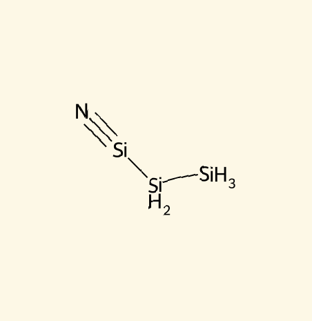 N#[Si][SiH2][SiH3]